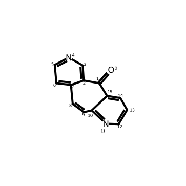 O=c1c2cnccc2ccc2ncccc12